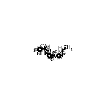 CCCC(=O)Nc1c(F)ccc(NC(=O)c2cc(NC(=O)C3[C@H](c4ccc(F)c(Cl)c4)C3(Cl)Cl)ccc2Cl)c1F